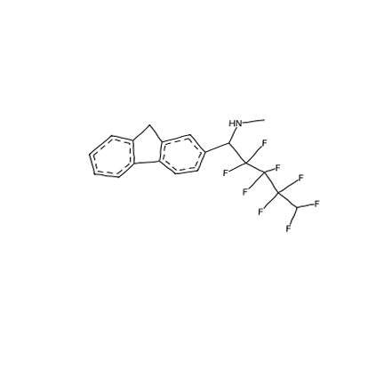 CNC(c1ccc2c(c1)Cc1ccccc1-2)C(F)(F)C(F)(F)C(F)(F)C(F)F